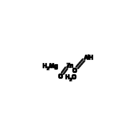 O.[MgH2].[O]=[AlH].[O]=[Zn]